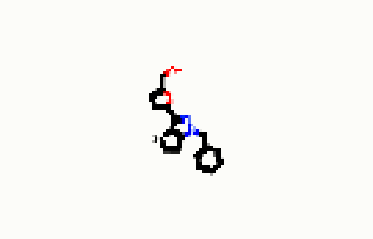 OCc1ccc(-c2nn(Cc3ccccc3)c3cc[se]c23)o1